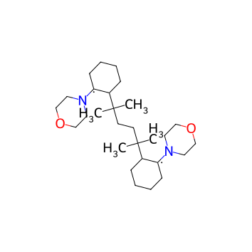 CC(C)(CCC(C)(C)C1CCCC[C]1N1CCOCC1)C1CCCC[C]1N1CCOCC1